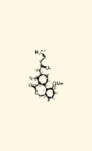 C=CCC(=O)Nc1ccc2c(c1Br)C(=O)OCc1cccc(OC)c1-2